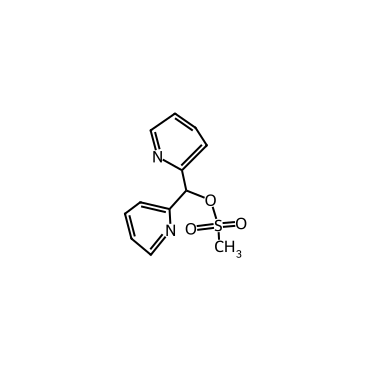 CS(=O)(=O)OC(c1ccccn1)c1ccccn1